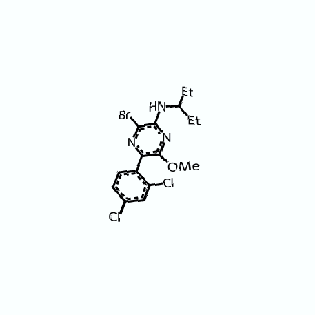 CCC(CC)Nc1nc(OC)c(-c2ccc(Cl)cc2Cl)nc1Br